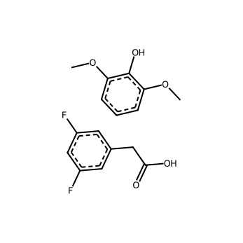 COc1cccc(OC)c1O.O=C(O)Cc1cc(F)cc(F)c1